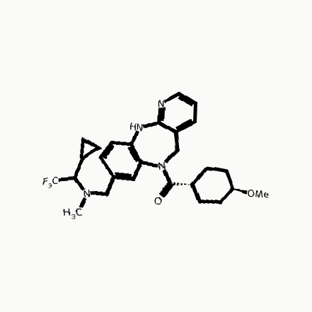 CO[C@H]1CC[C@H](C(=O)N2Cc3cccnc3Nc3ccc(CN(C)C(C4CC4)C(F)(F)F)cc32)CC1